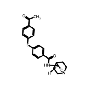 CC(=O)c1ccc(Sc2ccc(C(=O)N[C@H]3CN4CCC3CC4)cc2)cc1